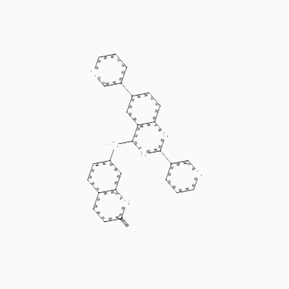 O=c1ccc2ccc(Nc3nc(-c4cccnc4)nc4ccc(-c5cccnc5)cc34)cc2[nH]1